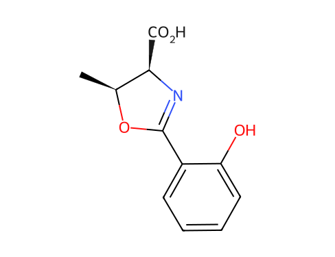 C[C@@H]1OC(c2ccccc2O)=N[C@@H]1C(=O)O